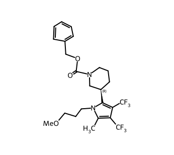 COCCCn1c(C)c(C(F)(F)F)c(C(F)(F)F)c1[C@@H]1CCCN(C(=O)OCc2ccccc2)C1